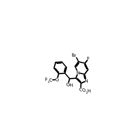 O=C(O)c1nc2cc(F)c(Br)cn2c1C(O)c1ccccc1OC(F)(F)F